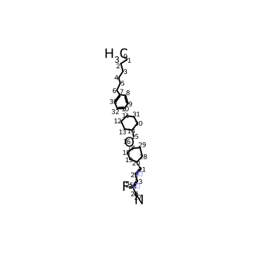 CCCCCCCc1ccc([C@H]2CC[C@H](CO[C@H]3CC[C@H](/C=C/C=C(\F)C#N)CC3)CC2)cc1